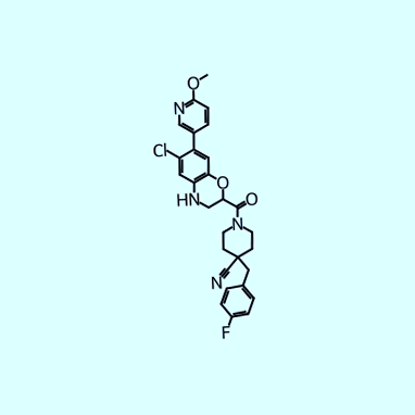 COc1ccc(-c2cc3c(cc2Cl)NCC(C(=O)N2CCC(C#N)(Cc4ccc(F)cc4)CC2)O3)cn1